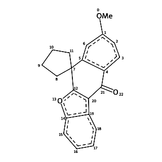 COc1ccc2c(c1)C1(CCCC1)c1oc3ccccc3c1C2=O